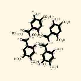 Cl.Cl.O=C(O)c1cc(C(=O)O)c(C(=O)OC(=O)c2cc(C(=O)O)c(C(=O)O)cc2C(=O)O)cc1C(=O)O.O=C(O)c1cc(C(=O)O)c(C(=O)OC(=O)c2cc(C(=O)O)c(C(=O)O)cc2C(=O)O)cc1C(=O)O